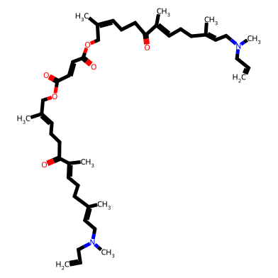 C=CCN(C)C/C=C(\C)CC/C=C(\C)C(=O)CCC=C(C)COC(=O)/C=C/C(=O)OCC(C)=CCCC(=O)/C(C)=C/CC/C(C)=C/CN(C)CC=C